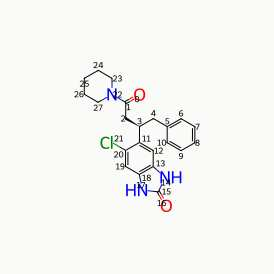 O=C(C[C@@H](Cc1ccccc1)c1cc2[nH]c(=O)[nH]c2cc1Cl)N1CCCCC1